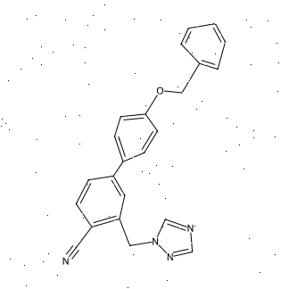 N#Cc1ccc(-c2ccc(OCc3ccccc3)cc2)cc1Cn1cncn1